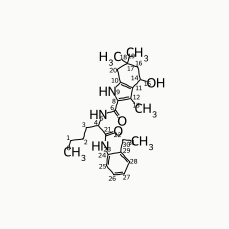 CCCCC(NC(=O)c1[nH]c2c(c1C)C(O)CC(C)(C)C2)C(=O)Nc1ccccc1CC